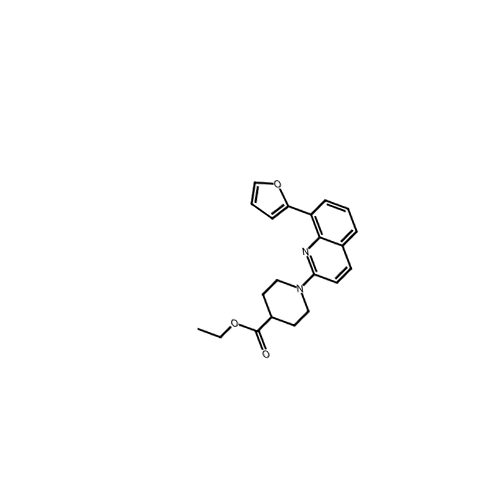 CCOC(=O)C1CCN(c2ccc3cccc(-c4ccco4)c3n2)CC1